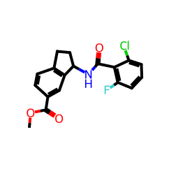 COC(=O)c1ccc2c(c1)C(NC(=O)c1c(F)cccc1Cl)CC2